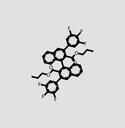 CCCOC(=O)c1c(-c2cc(F)c(F)c(F)c2)cc2ccccc2c1-c1c(C(=O)OCCC)c(-c2cc(F)c(F)c(F)c2)cc2ccccc12